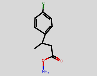 CC(CC(=O)ON)c1ccc(Cl)cc1